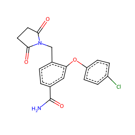 NC(=O)c1ccc(CN2C(=O)CCC2=O)c(Oc2ccc(Cl)cc2)c1